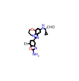 CCc1cc(-c2nc3cc(N[C@H](C=O)C4CC4)cc4c3n2CCCO4)cc2nc(N)oc12